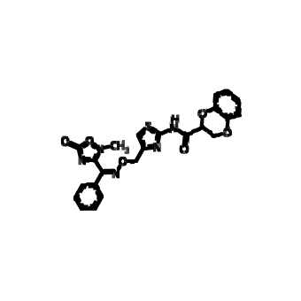 Cn1oc(=O)nc1/C(=N\OCc1csc(NC(=O)C2COc3ccccc3O2)n1)c1ccccc1